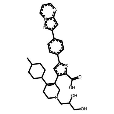 CC1CCC(C2=C(c3cc(-c4ccc(-c5cc6ncccn6n5)cc4)sc3C(=O)O)CN(CC(O)CO)CC2)CC1